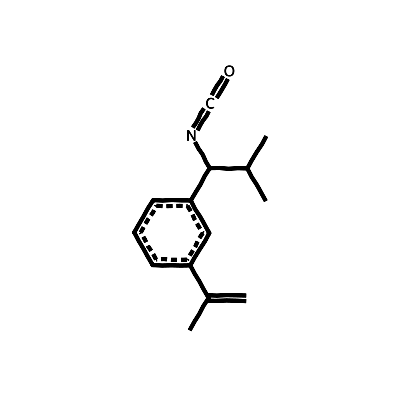 C=C(C)c1cccc(C(N=C=O)C(C)C)c1